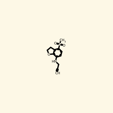 C#CCNc1ccc(S(C)(=O)=O)c2c1OCC2